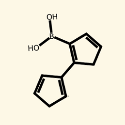 OB(O)C1=C(C2=[C]CC=C2)CC=C1